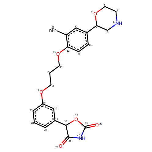 CCCc1cc(C2CNCCO2)ccc1OCCCOc1cccc(C2OC(=O)NC2=O)c1